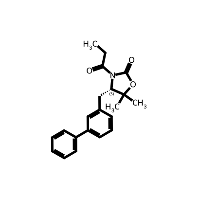 CCC(=O)N1C(=O)OC(C)(C)[C@@H]1Cc1cccc(-c2ccccc2)c1